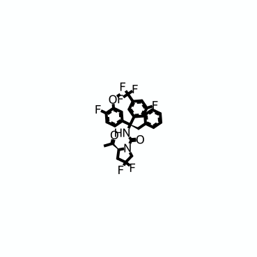 COc1cc([C@@](Cc2ccccc2)(NC(=O)N2CC(F)(F)C[C@H]2C(C)=O)c2cc(F)cc(C(F)(F)F)c2)ccc1F